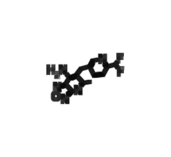 Cc1nc2nonc2c(N)c1Cc1ccc(C(F)F)nc1